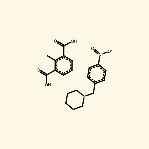 Cc1c(C(=O)O)cccc1C(=O)O.O=[N+]([O-])c1ccc(CN2CCCCC2)cc1